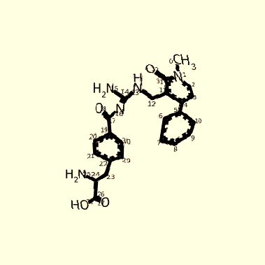 Cn1ccc(-c2ccccc2)c(CNC(N)=NC(=O)c2ccc(CC(N)C(=O)O)cc2)c1=O